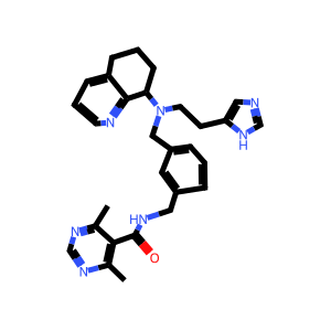 Cc1ncnc(C)c1C(=O)NCc1cccc(CN(CCc2cnc[nH]2)C2CCCc3cccnc32)c1